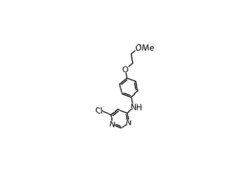 COCCOc1ccc(Nc2cc(Cl)ncn2)cc1